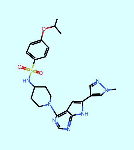 CC(C)Oc1ccc(S(=O)(=O)NC2CCN(c3ncnc4[nH]c(-c5cnn(C)c5)cc34)CC2)cc1